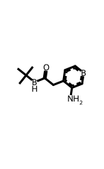 CC(C)(C)BC(=O)Cc1ccbcc1N